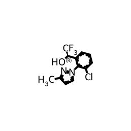 Cc1ccn(-c2c(Cl)cccc2[C@@H](O)C(F)(F)F)n1